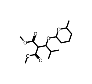 COC(=O)C(C(=O)OC)C(OC1CCCC(C)O1)C(C)C